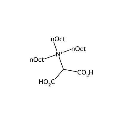 CCCCCCCC[N+](CCCCCCCC)(CCCCCCCC)C(C(=O)O)C(=O)O